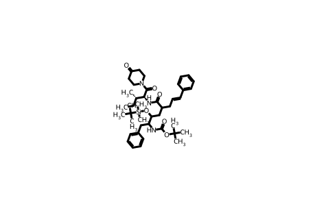 CC[C@H](C)[C@H](NC(=O)C(CC=Cc1ccccc1)CC(O[Si](C)(C)C(C)(C)C)C(Cc1ccccc1)NC(=O)OC(C)(C)C)C(=O)N1CCC(=O)CC1